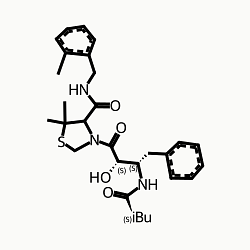 CC[C@H](C)C(=O)N[C@@H](Cc1ccccc1)[C@H](O)C(=O)N1CSC(C)(C)C1C(=O)NCc1ccccc1C